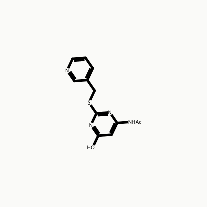 CC(=O)Nc1cc(O)nc(SCc2cccnc2)n1